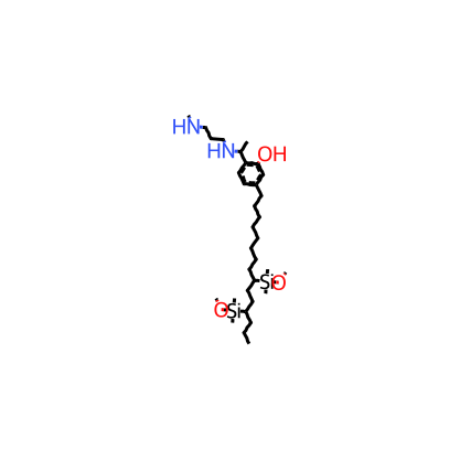 CCCC(CCC(CCCCCCCCc1ccc(C(C)NCCCNC)c(O)c1)[Si](C)(C)OC)[Si](C)(C)OC